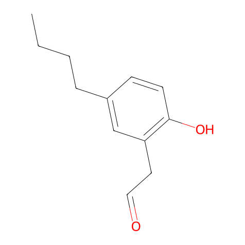 CCCCc1ccc(O)c(CC=O)c1